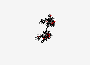 Cc1nc([C@H]2OC3CO[C@H](c4ccccc4)OC3[C@@H](n3cc(-c4cc(F)c(Cl)c(F)c4)nn3)[C@@H]2OCC(=O)NCCCCCNC(=O)CO[C@@H]2[C@@H](n3cc(-c4cc(F)c(Cl)c(F)c4)nn3)[C@H]3O[C@@H](c4ccccc4)OC[C@H]3O[C@H]2c2nc(C)nn2-c2cc(Cl)ccc2C(F)(F)F)n(-c2cc(Cl)ccc2C(F)(F)F)n1